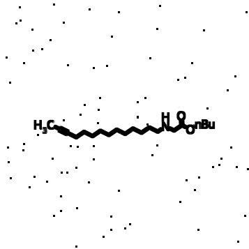 CC#CCCCCCCCCCCCNCC(=O)OCCCC